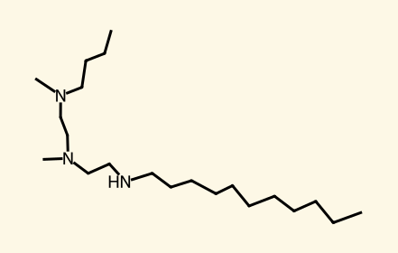 CCCCCCCCCCCNCCN(C)CCN(C)CCCC